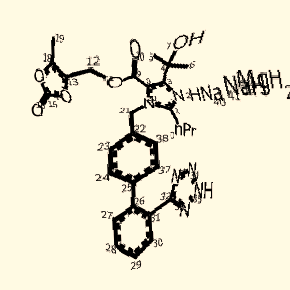 CCCc1nc(C(C)(C)O)c(C(=O)OCc2oc(=O)oc2C)n1Cc1ccc(-c2ccccc2-c2nn[nH]n2)cc1.[MgH2].[NaH].[NaH]